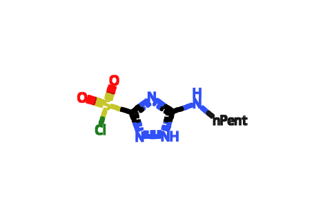 CCCCCNc1nc(S(=O)(=O)Cl)n[nH]1